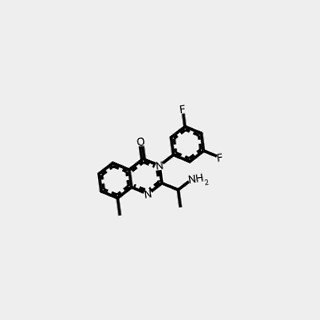 Cc1cccc2c(=O)n(-c3cc(F)cc(F)c3)c(C(C)N)nc12